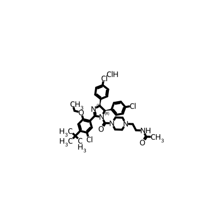 CCOc1cc(C(C)(C)C)c(Cl)cc1C1=N[C@@H](c2ccc(Cl)cc2)[C@@H](c2ccc(Cl)cc2)N1C(=O)N1CCN(CCNC(C)=O)CC1.Cl